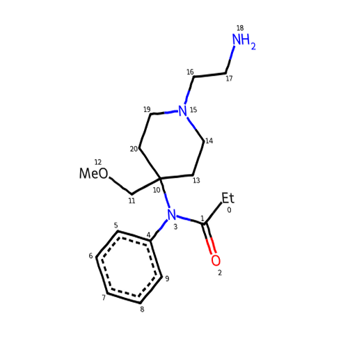 CCC(=O)N(c1ccccc1)C1(COC)CCN(CCN)CC1